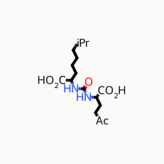 CC(=O)CCC(NC(=O)NC(CCCCC(C)C)C(=O)O)C(=O)O